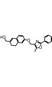 Cc1oc(-c2ccccc2)nc1COc1ccc2c(c1)CCC(CO)=C2